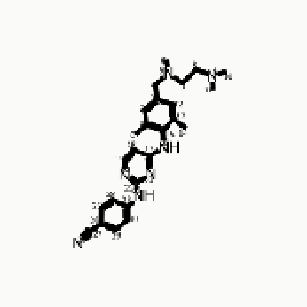 Cc1cc(CN(C)CCN(C)C)cc(C)c1Nc1ccnc(Nc2ccc(C#N)cc2)n1